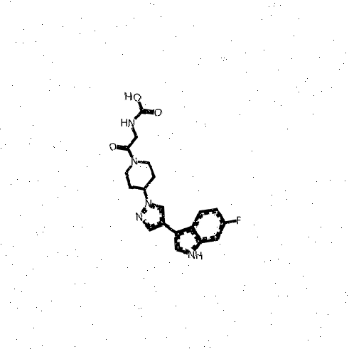 O=C(O)NCC(=O)N1CCC(n2cc(-c3c[nH]c4cc(F)ccc34)cn2)CC1